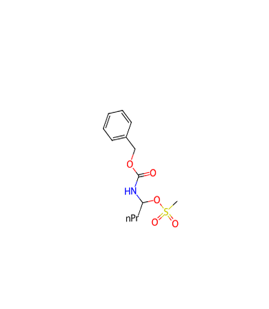 CCCC(NC(=O)OCc1ccccc1)OS(C)(=O)=O